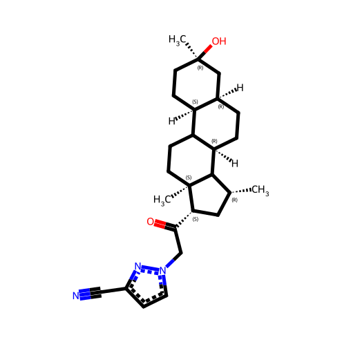 C[C@@H]1C[C@H](C(=O)Cn2ccc(C#N)n2)[C@@]2(C)CCC3[C@@H](CC[C@@H]4C[C@](C)(O)CC[C@H]34)C12